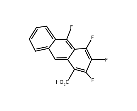 O=C(O)c1c(F)c(F)c(F)c2c(F)c3ccccc3cc12